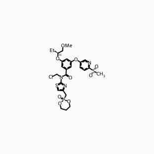 CC[C@@H](COC)Oc1cc(Oc2ccc(S(C)(=O)=O)nc2)cc(C(=O)N(CCl)c2nc(CP3(=O)OCCCO3)cs2)c1